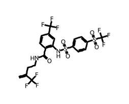 C=C(CCNC(=O)c1ccc(C(F)(F)F)cc1NS(=O)(=O)c1ccc(S(=O)(=O)C(F)(F)F)cc1)C(F)(F)F